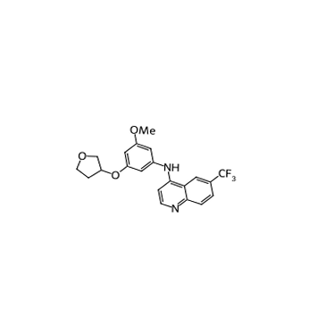 COc1cc(Nc2ccnc3ccc(C(F)(F)F)cc23)cc(OC2CCOC2)c1